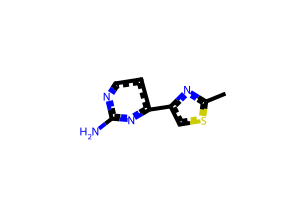 Cc1nc(-c2ccnc(N)n2)cs1